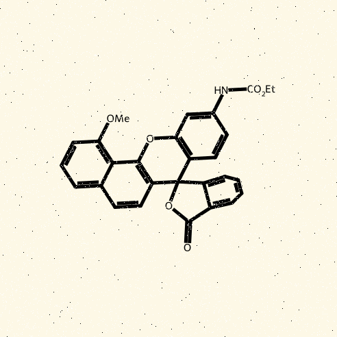 CCOC(=O)Nc1ccc2c(c1)Oc1c(ccc3cccc(OC)c13)C21OC(=O)c2ccccc21